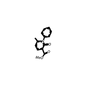 COC(=O)c1ccc(C)n(-c2ccccc2)c1=O